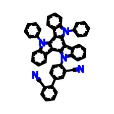 N#Cc1ccccc1-c1ccc(-n2c3ccccc3c3c4c(c5ccccc5n4-c4ccccc4)c4c(c5ccccc5n4-c4ccccc4)c32)c(C#N)c1